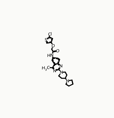 Cc1nc(N2CCC(N3CCCC3)CC2)nc2ccc(NC(=O)COc3csc(Cl)c3)cc12